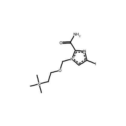 C[Si](C)(C)CCOCn1cc(I)nc1C(N)=O